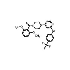 COc1cccc(OC)c1C(=O)N1CCN(c2cc(Nc3ccc(C(F)(F)F)cc3)ncn2)CC1